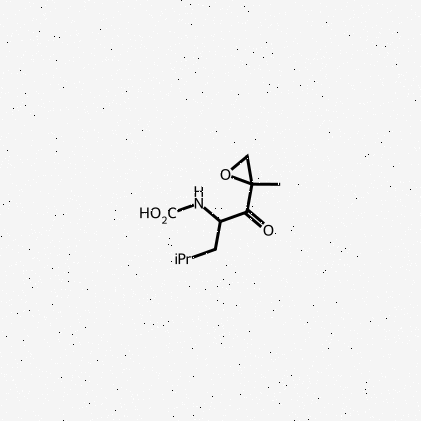 CC(C)CC(NC(=O)O)C(=O)C1(C)CO1